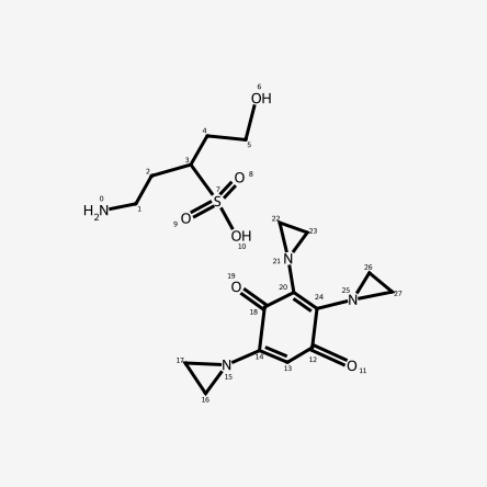 NCCC(CCO)S(=O)(=O)O.O=C1C=C(N2CC2)C(=O)C(N2CC2)=C1N1CC1